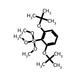 CO[Si](OC)(OC)c1c(OC(C)(C)C)cccc1OC(C)(C)C